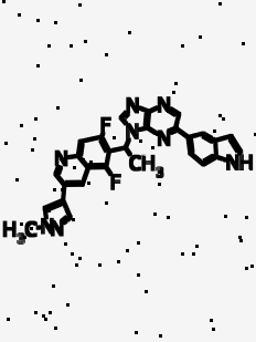 CC(c1c(F)cc2ncc(-c3cnn(C)c3)cc2c1F)n1cnc2ncc(-c3ccc4[nH]ccc4c3)nc21